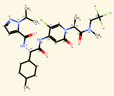 CC1CCC([C@H](NC(=O)c2ccnn2C(C)C)C(=O)Nc2cc(=O)n([C@@H](C)C(=O)N(C)CC(F)(F)F)cc2F)CC1